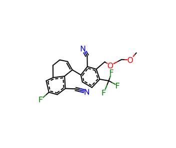 COCOCc1c(C(F)(F)F)ccc(C2=CCCc3cc(F)cc(C#N)c32)c1C#N